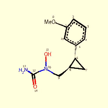 COc1cccc([C@@H]2C[C@H]2CN(O)C(N)=O)c1